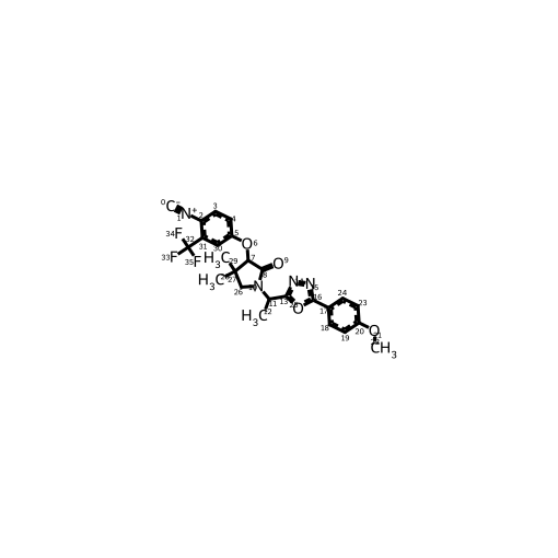 [C-]#[N+]c1ccc(OC2C(=O)N(C(C)c3nnc(-c4ccc(OC)cc4)o3)CC2(C)C)cc1C(F)(F)F